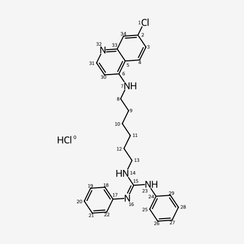 Cl.Clc1ccc2c(NCCCCCCN/C(=N\c3ccccc3)Nc3ccccc3)ccnc2c1